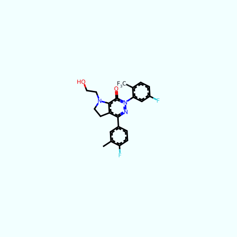 Cc1cc(-c2nn(-c3cc(F)ccc3C(F)(F)F)c(=O)c3c2CCN3CCO)ccc1F